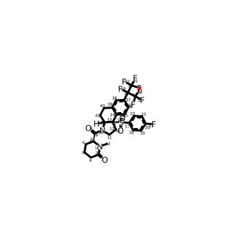 CN1C(=O)CCC[C@H]1C(=O)N1CC[C@@]2(S(=O)(=O)c3ccc(F)cc3)c3ccc(C(F)(C(F)(F)F)C(F)(F)F)cc3CC[C@@H]12